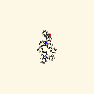 c1ccc(-c2ccc(N(c3cccc(-c4cccc(-c5ccc6c(c5)c5ccccc5n6-c5ccccc5)c4)c3)c3ccc4oc5ccccc5c4c3)cc2)cc1